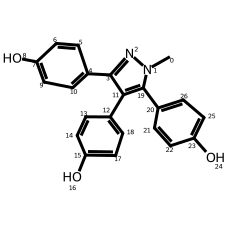 Cn1nc(-c2ccc(O)cc2)c(-c2ccc(O)cc2)c1-c1ccc(O)cc1